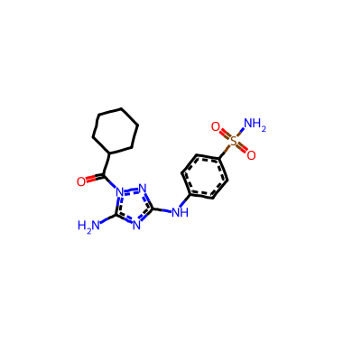 Nc1nc(Nc2ccc(S(N)(=O)=O)cc2)nn1C(=O)C1CCCCC1